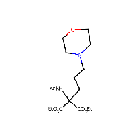 CCOC(=O)C(CCCN1CCOCC1)(NC(C)=O)C(=O)OCC